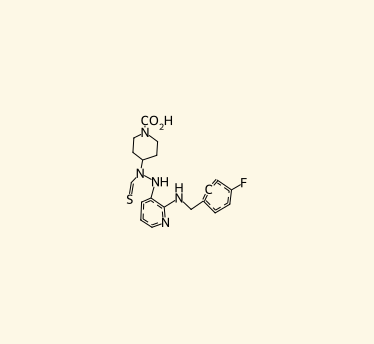 O=C(O)N1CCC(N(C=S)Nc2cccnc2NCc2ccc(F)cc2)CC1